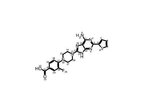 Nc1nc(-c2cccs2)nc2[nH]c(N3CCN(c4ccc(C(=O)O)cc4F)CC3)nc12